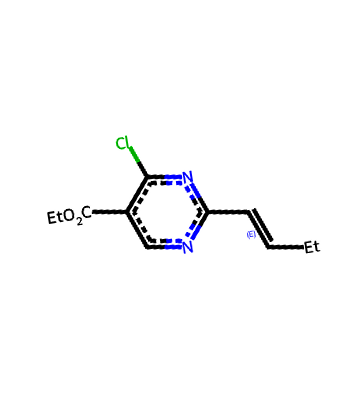 CC/C=C/c1ncc(C(=O)OCC)c(Cl)n1